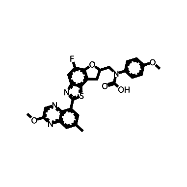 COc1ccc(N(CC2Cc3c(c(F)cc4nc(-c5cc(C)cc6nc(OC)cnc56)sc34)O2)C(=O)O)cc1